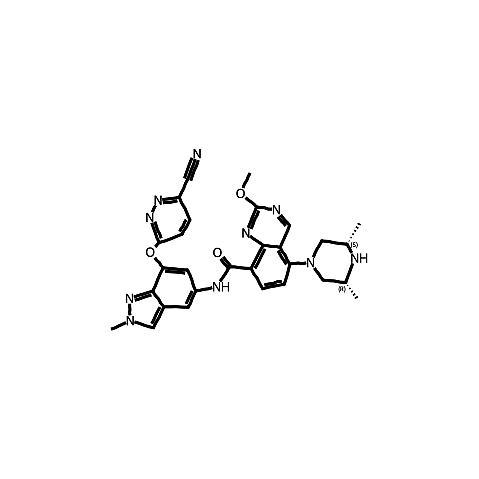 COc1ncc2c(N3C[C@@H](C)N[C@@H](C)C3)ccc(C(=O)Nc3cc(Oc4ccc(C#N)nn4)c4nn(C)cc4c3)c2n1